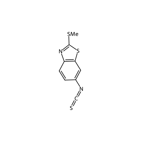 CSc1nc2ccc(N=C=S)cc2s1